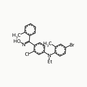 CCN(c1ccc(C(=NO)c2ccccc2C)c(Cl)c1)c1ccc(Br)cc1C